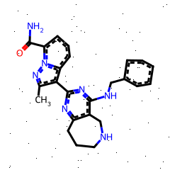 Cc1nn2c(C(N)=O)cccc2c1-c1nc2c(c(NCc3ccccc3)n1)CNCCC2